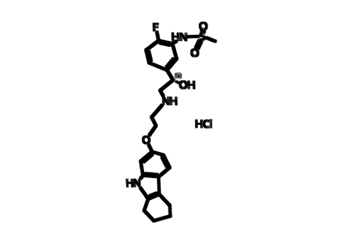 CS(=O)(=O)Nc1cc([C@H](O)CNCCOc2ccc3c4c([nH]c3c2)CCCC4)ccc1F.Cl